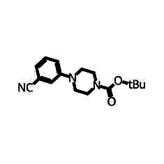 CC(C)(C)OC(=O)N1CCN(c2cccc(C#N)c2)CC1